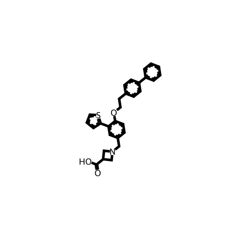 O=C(O)C1CN(Cc2ccc(OCCc3ccc(-c4ccccc4)cc3)c(-c3cccs3)c2)C1